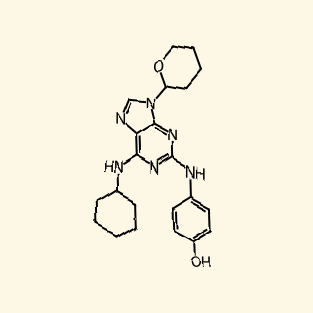 Oc1ccc(Nc2nc(NC3CCCCC3)c3ncn(C4CCCCO4)c3n2)cc1